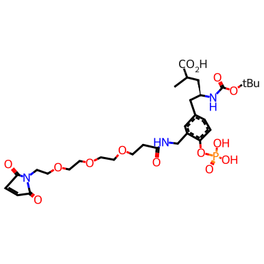 CC(C[C@H](Cc1ccc(OP(=O)(O)O)c(CNC(=O)CCOCCOCCOCCN2C(=O)C=CC2=O)c1)NC(=O)OC(C)(C)C)C(=O)O